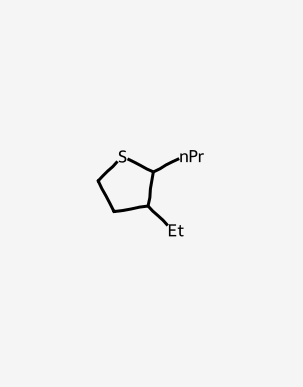 CCCC1SCCC1CC